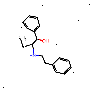 CC[C@H](NCCc1ccccc1)[C@H](O)c1ccccc1